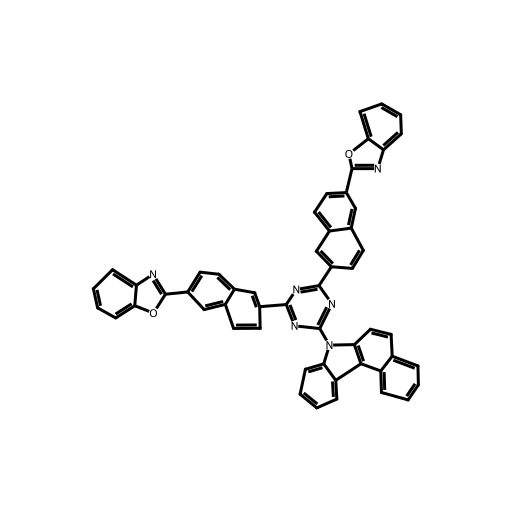 c1ccc2c(c1)ccc1c2c2ccccc2n1-c1nc(-c2ccc3cc(-c4nc5ccccc5o4)ccc3c2)nc(-c2ccc3cc(-c4nc5ccccc5o4)ccc3c2)n1